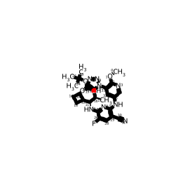 COc1ncc(Nc2nc(N[C@H](C3CCC3)[C@H](C)NC(=O)OC(C)(C)C)c(F)cc2C#N)cc1-n1ccnn1